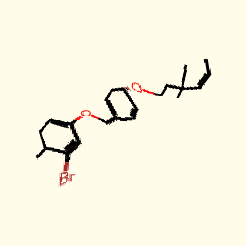 C/C=C\C(C)(C)CCO[C@@H]1C=CC(COC2=CCC(C)C(Br)=C2)=CC1